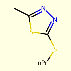 CCCSc1nnc(C)s1